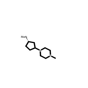 CN[C@H]1CCC(N2CCN(C)CC2)C1